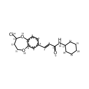 O=C(/C=C/c1ccc2c(c1)OCCC(Cl)O2)NC1CCCCC1